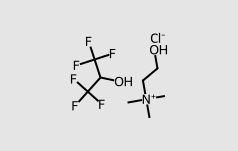 C[N+](C)(C)CCO.OC(C(F)(F)F)C(F)(F)F.[Cl-]